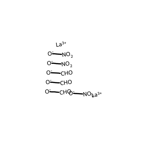 O=C[O-].O=C[O-].O=C[O-].O=[N+]([O-])[O-].O=[N+]([O-])[O-].O=[N+]([O-])[O-].[La+3].[La+3]